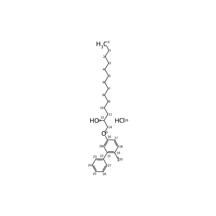 CCCCCCCCCCCCC(O)COc1ccc(I)c(-c2ccccc2)c1.Cl